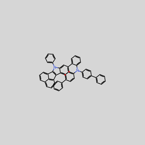 c1ccc(-c2ccc(N(c3ccc(-c4ccccc4)cc3)c3ccccc3-c3ccc4c5c(n(-c6ccccc6)c4c3)-c3cccc4cccc-5c34)cc2)cc1